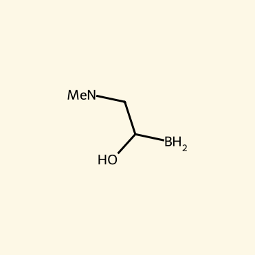 BC(O)CNC